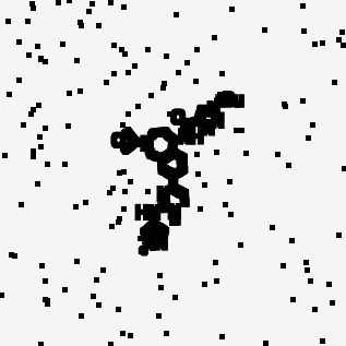 C=N/C(=N\C(=C/C)c1ccc2c(c1)CN(C1COC1)CC[C@H]2NC(=O)c1cn(C(C)(C)C)nn1)Nc1cnn(C)c1